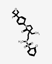 CCC1(CCN(C)S(=O)(=O)c2ccccc2Cl)CCN(c2ccc(C3(F)COC3)cc2)C1=O